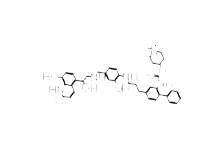 C[N+]1(C)CCC(OC(=O)Nc2cc(CCC(=O)Nc3ccc(CNC[C@@H](O)c4ccc(O)c5[nH]c(=O)ccc45)cc3Cl)ccc2-c2ccccc2)CC1